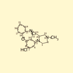 CN1CCN(c2cccc3c2C=Nc2ccccc2O3)C(Cl)C1.Cl